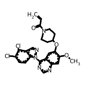 C=CC(=O)N1CCC(Oc2cc3c(-n4ncc5c(Cl)c(Cl)ccc54)ncnc3cc2OC)CC1